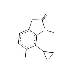 CN1C(=O)Cc2ccc(F)c(C3CO3)c21